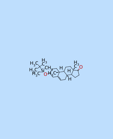 CC(C)(C)[Si](C)(C)OC1CC[C@@]2(C)C(=CC[C@@H]3[C@@H]2CC[C@]2(C)C(=O)CC[C@@H]32)C1